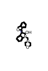 OC1/C(=C2/OCc3ccccc32)c2ccccc2N1CN1CCOCC1